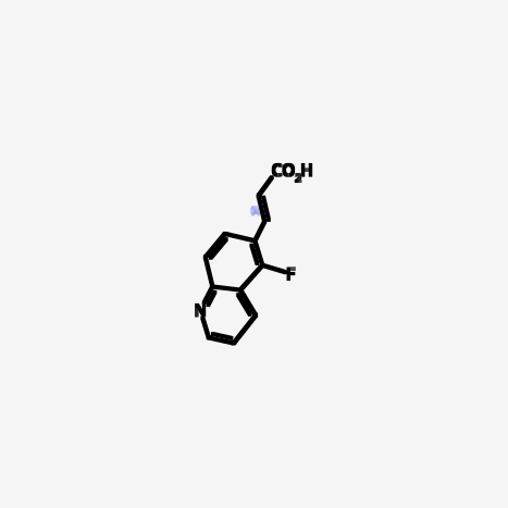 O=C(O)/C=C/c1ccc2ncccc2c1F